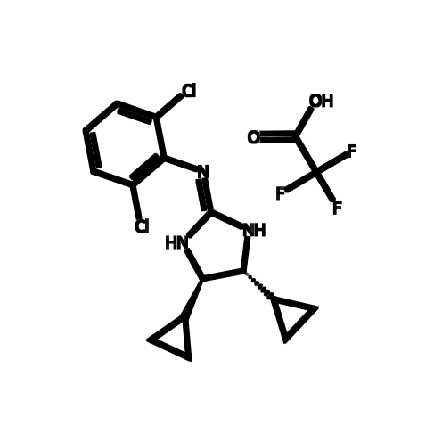 Clc1cccc(Cl)c1N=C1N[C@H](C2CC2)[C@@H](C2CC2)N1.O=C(O)C(F)(F)F